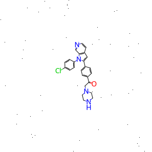 O=C(CN1CCNCC1)c1ccc(-c2cc3ccncc3n2-c2ccc(Cl)cc2)cc1